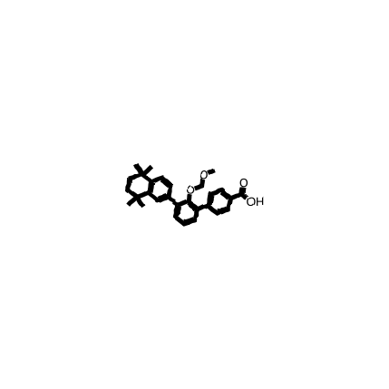 COCOc1c(-c2ccc(C(=O)O)cc2)cccc1-c1ccc2c(c1)C(C)(C)CCC2(C)C